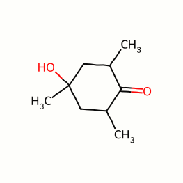 CC1CC(C)(O)CC(C)C1=O